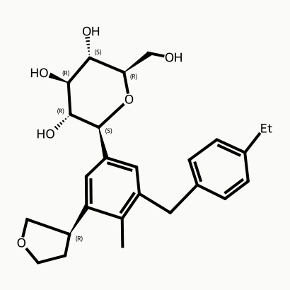 CCc1ccc(Cc2cc([C@@H]3O[C@H](CO)[C@@H](O)[C@H](O)[C@H]3O)cc([C@H]3CCOC3)c2C)cc1